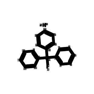 F[B-](c1ccccc1)(c1ccccc1)c1ccccc1.[H+]